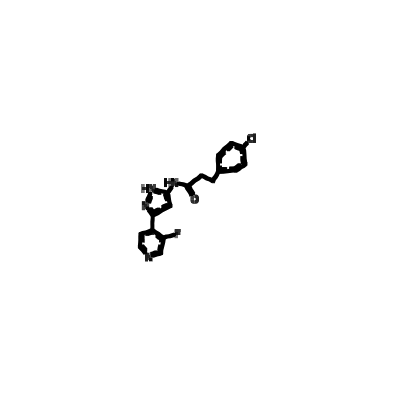 O=C(CCc1ccc(Cl)cc1)Nc1cc(-c2ccncc2F)n[nH]1